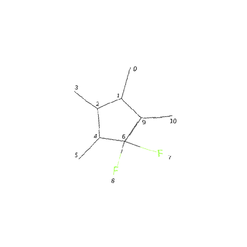 CC1C(C)C(C)C(F)(F)C1C